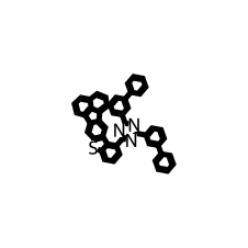 c1ccc(-c2cccc(-c3nc(-c4cccc(-c5ccccc5)c4)nc(-c4cccc5sc6cc7c(cc6c45)-c4cccc5cccc-7c45)n3)c2)cc1